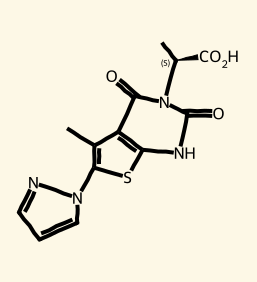 Cc1c(-n2cccn2)sc2[nH]c(=O)n([C@@H](C)C(=O)O)c(=O)c12